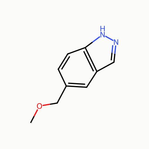 COCc1ccc2[nH]ncc2c1